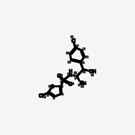 CC[C@H](C)[C@H](NS(=O)(=O)c1ccc(Cl)s1)C(O)c1ccc(Cl)cc1